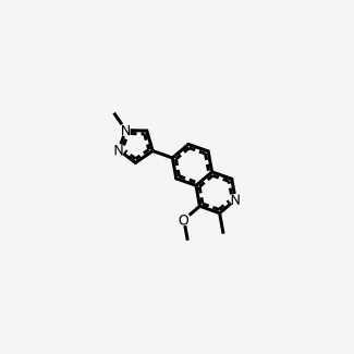 COc1c(C)ncc2ccc(-c3cnn(C)c3)cc12